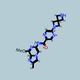 COc1nc(NC(=O)c2cnc(N3CC4(CNC4)C3)cn2)cn2cc(C)nc12